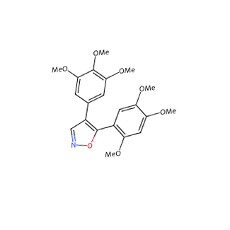 COc1cc(OC)c(-c2oncc2-c2cc(OC)c(OC)c(OC)c2)cc1OC